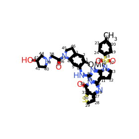 COc1cc2c(cc1Nc1nc3c(ccn3S(=O)(=O)c3ccc(C)cc3)c3nc4ccsc4c(=O)n13)N(C(=O)CN1CCC(O)C1)CC2